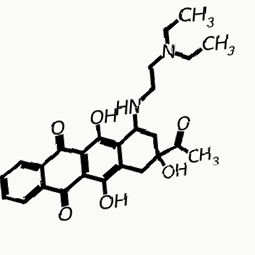 CCN(CC)CCNC1CC(O)(C(C)=O)Cc2c(O)c3c(c(O)c21)C(=O)c1ccccc1C3=O